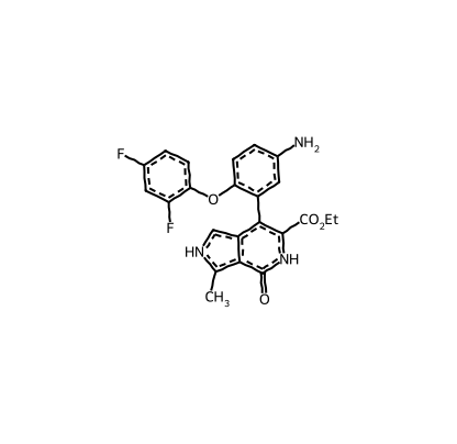 CCOC(=O)c1[nH]c(=O)c2c(C)[nH]cc2c1-c1cc(N)ccc1Oc1ccc(F)cc1F